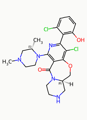 C[C@H]1CN(C)CCN1c1nc(-c2c(O)cccc2Cl)c(Cl)c2c1C(=O)N1CCNC[C@@H]1CO2